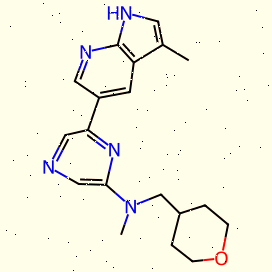 Cc1c[nH]c2ncc(-c3cncc(N(C)CC4CCOCC4)n3)cc12